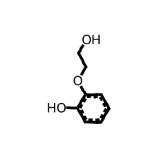 OCCOc1ccccc1O